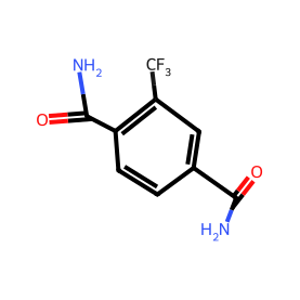 NC(=O)c1ccc(C(N)=O)c(C(F)(F)F)c1